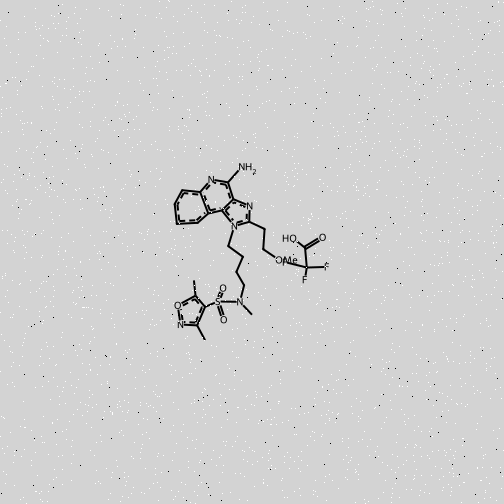 COCCc1nc2c(N)nc3ccccc3c2n1CCCCN(C)S(=O)(=O)c1c(C)noc1C.O=C(O)C(F)(F)F